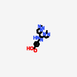 Cc1nccc(-c2nc(C34CCC(C(=O)O)(CC3)CC4)[nH]c2-c2ccc3ncnn3c2)n1